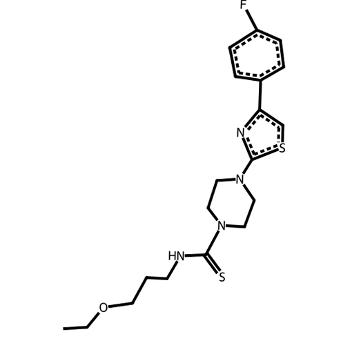 CCOCCCNC(=S)N1CCN(c2nc(-c3ccc(F)cc3)cs2)CC1